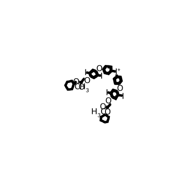 CC1(OC(=O)COc2cc(I)c(Oc3ccc([I+]c4ccc(Oc5cc(I)c(OCC(=O)OC6(C)CCCCC6)cc5I)cc4)cc3)cc2I)CCCCC1